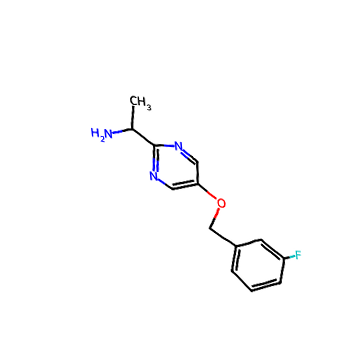 CC(N)c1ncc(OCc2cccc(F)c2)cn1